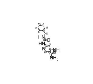 Nc1n[nH]c2cc(NC(=O)NCc3ccccc3)ncc12